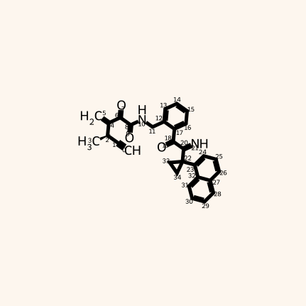 C#C[C@@H](C)C(=C)C(=O)C(=O)NCc1ccccc1C(=O)C(=N)C1(c2cccc3ccccc23)CC1